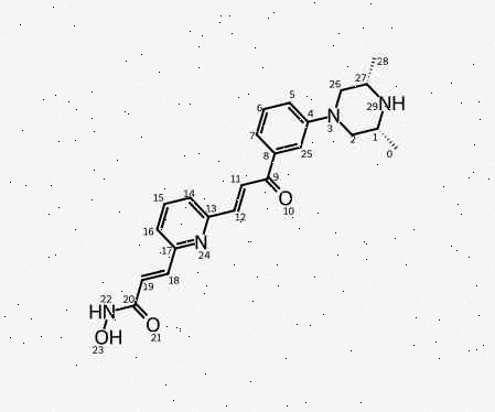 C[C@@H]1CN(c2cccc(C(=O)C=Cc3cccc(C=CC(=O)NO)n3)c2)C[C@H](C)N1